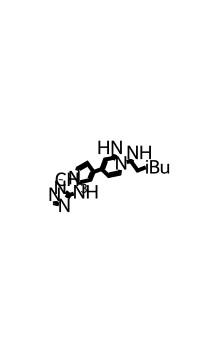 CCC(C)CC(=N)n1ccc(-c2ccnc(Nc3ncnn3C)c2)cc1=N